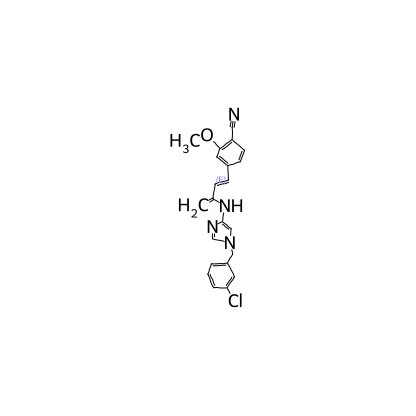 C=C(/C=C/c1ccc(C#N)c(OC)c1)Nc1cn(Cc2cccc(Cl)c2)cn1